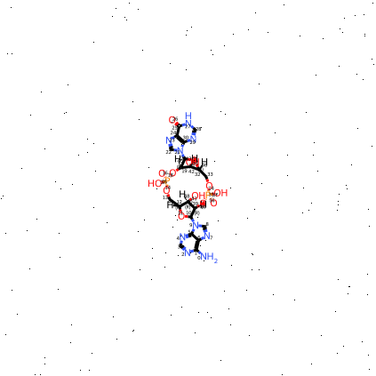 Nc1ncnc2c1ncn2C1O[C@@H]2COP(=O)(O)O[C@H]3C(n4cnc5c(=O)[nH]cnc54)O[C@H](COP(=O)(O)O[C@@H]1[C@@H]2O)[C@H]3O